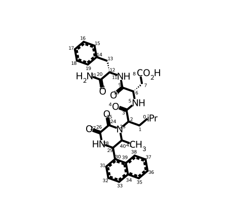 CC(C)CC(C(=O)N[C@@H](CC(=O)O)C(=O)N[C@@H](Cc1ccccc1)C(N)=O)N1C(=O)C(=O)NC(c2cccc3ccccc23)C1C